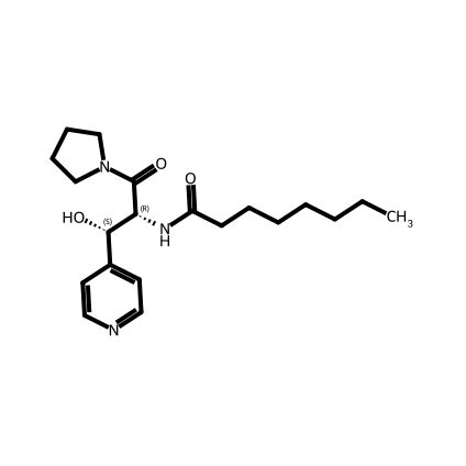 CCCCCCCC(=O)N[C@@H](C(=O)N1CCCC1)[C@@H](O)c1ccncc1